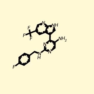 Nc1cnc(NCc2ccc(F)cc2)nc1-c1c[nH]c2ncc(C(F)(F)F)cc12